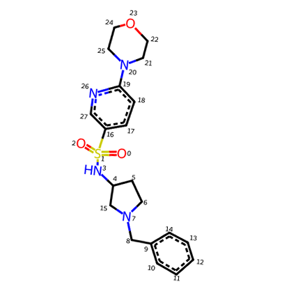 O=S(=O)(NC1CCN(Cc2ccccc2)C1)c1ccc(N2CCOCC2)nc1